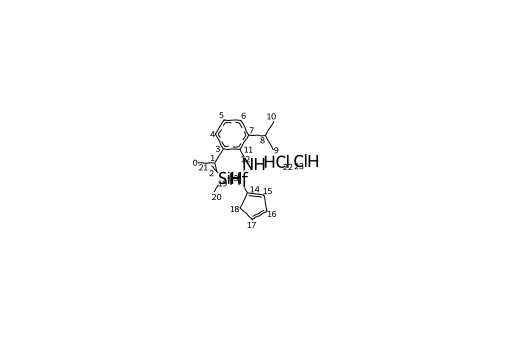 CC(C)c1cccc(C(C)C)c1[NH][Hf]([C]1=CC=CC1)[SiH](C)C.Cl.Cl